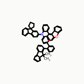 CC1(C)c2ccccc2-c2cccc(-c3ccccc3-c3ccc(N(c4ccc5c(c4)C4(CCCC4)c4ccccc4-5)c4ccccc4-c4cccc5oc6ccccc6c45)cc3)c21